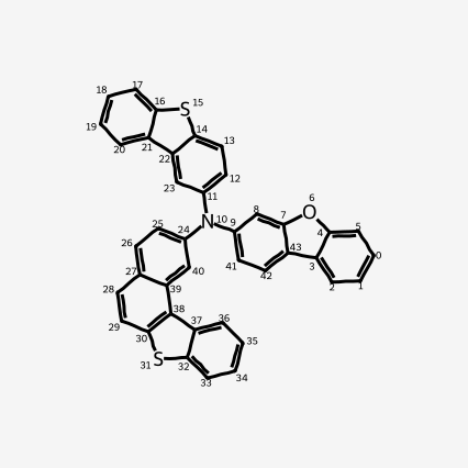 c1ccc2c(c1)oc1cc(N(c3ccc4sc5ccccc5c4c3)c3ccc4ccc5sc6ccccc6c5c4c3)ccc12